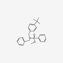 COP(=O)(c1ccccc1)N(Cc1ccccc1)Cc1ccc(C(C)(C)C)cc1